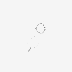 O=C1CO[C@H](c2ccc(F)cc2)CN1